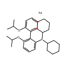 CC(C)Oc1ccccc1-c1c(OC(C)C)cccc1P(C1CCCCC1)C1CCCCC1.[Pd]